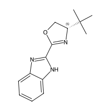 CC(C)(C)[C@H]1COC(c2nc3ccccc3[nH]2)=N1